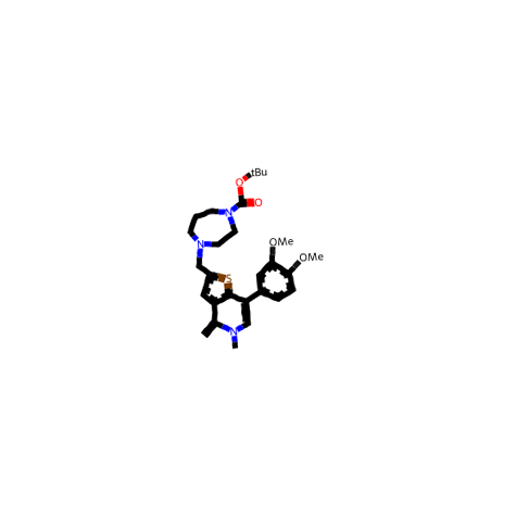 C=C1c2cc(CN3CCCN(C(=O)OC(C)(C)C)CC3)sc2C(c2ccc(OC)c(OC)c2)=CN1C